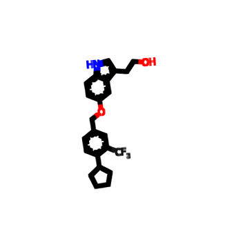 OCCc1c[nH]c2ccc(OCc3ccc(C4CCCC4)c(C(F)(F)F)c3)cc12